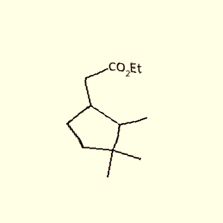 CCOC(=O)CC1CCC(C)(C)C1C